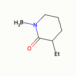 BN1CCCC(CC)C1=O